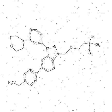 CCc1cnc(-c2ccc3c(c2)c(-c2ccnc(N4CCOCC4)c2)nn3COCC[Si](C)(C)C)nc1